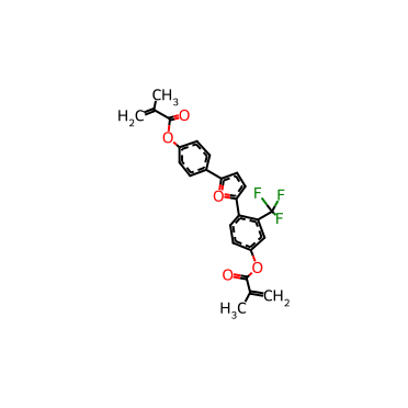 C=C(C)C(=O)Oc1ccc(-c2ccc(-c3ccc(OC(=O)C(=C)C)cc3C(F)(F)F)o2)cc1